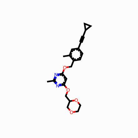 Cc1nc(OCc2ccc(C#CC3CC3)cc2C)cc(OCC2COCCO2)n1